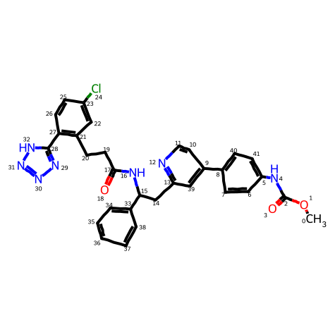 COC(=O)Nc1ccc(-c2ccnc(CC(NC(=O)CCc3cc(Cl)ccc3-c3nnn[nH]3)c3ccccc3)c2)cc1